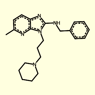 Cc1ccc2nc(NCc3ccccc3)n(CCCN3CCCCC3)c2n1